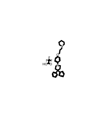 O=C(O)C(F)(F)F.c1ccc(C2(c3ccccc3)CCN(c3ccc(OCCCN4CCCCC4)cc3)CC2)cc1